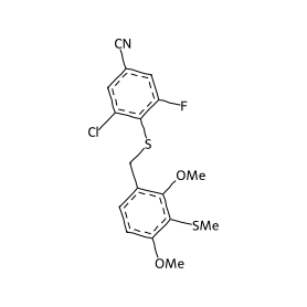 COc1ccc(CSc2c(F)cc(C#N)cc2Cl)c(OC)c1SC